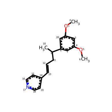 COc1cc(OC)cc(C(C)CC=Cc2ccncc2)c1